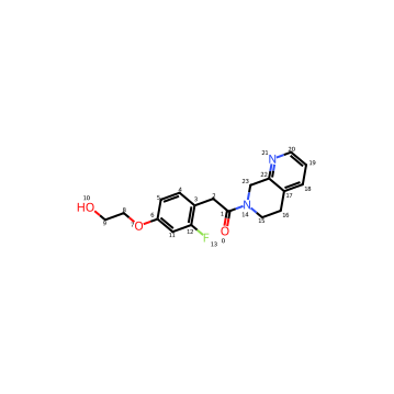 O=C(Cc1ccc(OCCO)cc1F)N1CCc2cccnc2C1